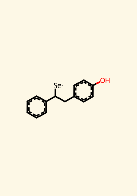 Oc1ccc(CC([Se])c2ccccc2)cc1